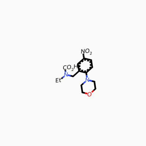 CCN(Cc1cc([N+](=O)[O-])ccc1N1CCOCC1)C(=O)O